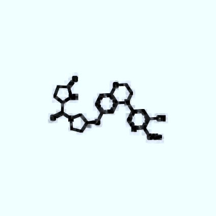 COc1ncc(N2CCOc3ccc(O[C@H]4CCN(C(=O)C5CCC(=O)N5)C4)cc32)cc1C#N